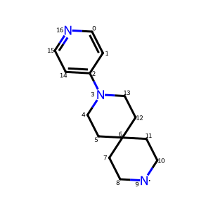 c1cc(N2CCC3(CC[N]CC3)CC2)ccn1